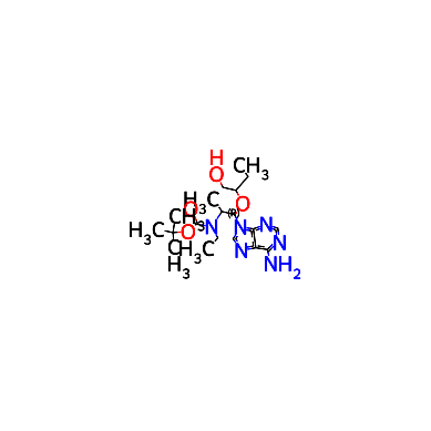 CCC(CO)O[C@H](C(C)N(CC)C(=O)OC(C)(C)C)n1cnc2c(N)ncnc21